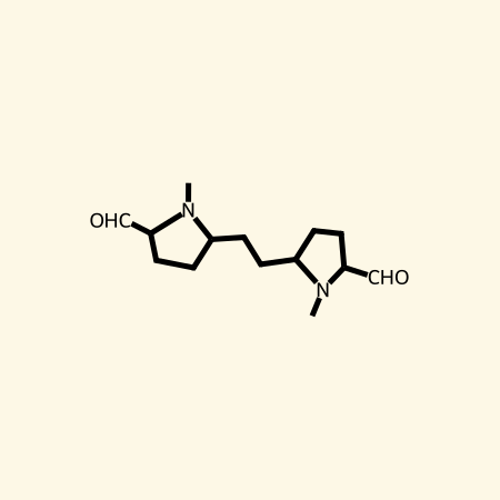 CN1C(C=O)CCC1CCC1CCC(C=O)N1C